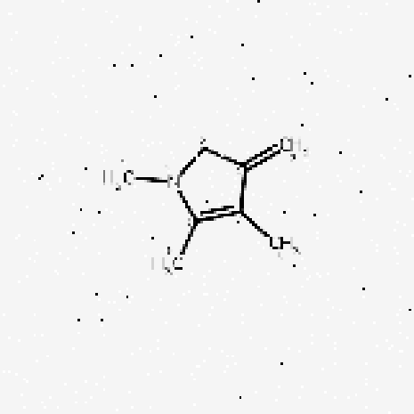 C=C1CN(C)C(C)=C1C